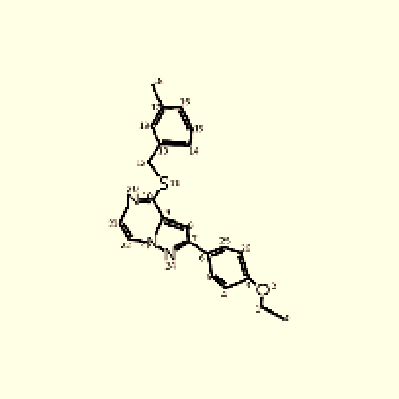 CCOc1ccc(-c2cc3c(SCc4cccc(C)c4)nccn3n2)cc1